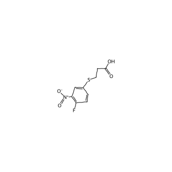 O=C(O)CCSc1ccc(F)c([N+](=O)[O-])c1